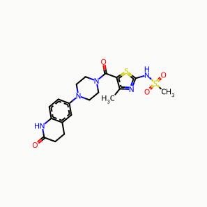 Cc1nc(NS(C)(=O)=O)sc1C(=O)N1CCN(c2ccc3c(c2)CCC(=O)N3)CC1